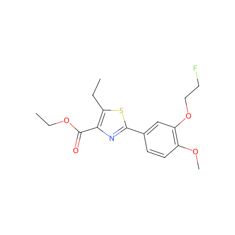 CCOC(=O)c1nc(-c2ccc(OC)c(OCCF)c2)sc1CC